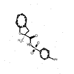 CC(C)c1ccc(S(=O)(=O)NC(=O)[C@]2(C)Cc3ccccc3O2)cc1